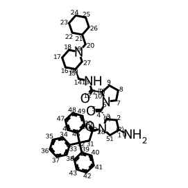 N[C@@H]1C[C@@H](C(=O)N2CCC[C@@H]2C(=O)NC[C@H]2CCCN(CC3CCCCC3)C2)N(C(=O)CC(c2ccccc2)(c2ccccc2)c2ccccc2)C1